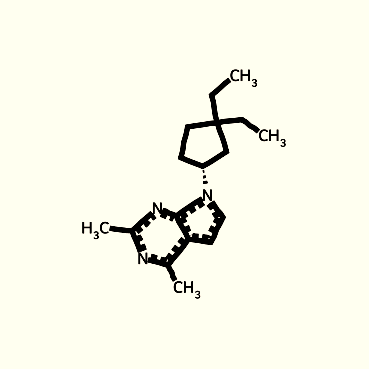 CCC1(CC)CC[C@@H](n2ccc3c(C)nc(C)nc32)C1